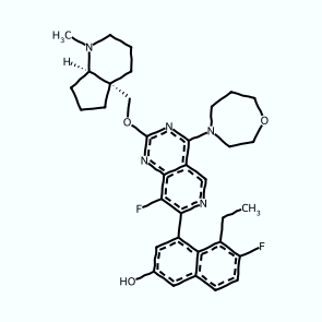 CCc1c(F)ccc2cc(O)cc(-c3ncc4c(N5CCCOCC5)nc(OC[C@]56CCC[C@H]5N(C)CCC6)nc4c3F)c12